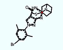 CSN1CC2CC(C1)N2c1nc2nn(-c3c(C)cc(Br)cc3C)cc2c(=O)[nH]1